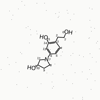 OCCc1ccc(N2CCC(O)C2)cc1O